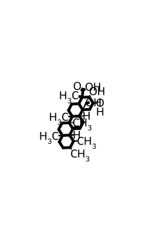 C[C@H]1[C@H](C)CC[C@]2(C)CC[C@]3(C)C(=CC[C@@H]4[C@@]5(CO)C[C@H](O)[C@H](O)C(C)(C(=O)O)C5CC[C@]43C)[C@H]12